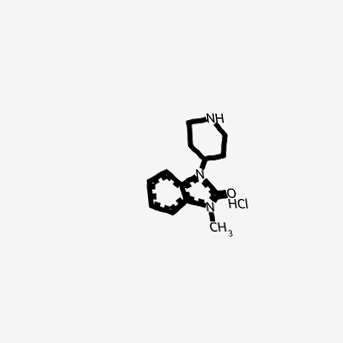 Cl.Cn1c(=O)n(C2CCNCC2)c2ccccc21